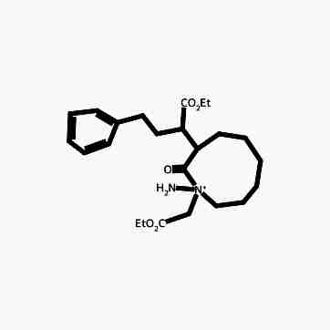 CCOC(=O)C[N+]1(N)CCCCCCC(C(CCc2ccccc2)C(=O)OCC)C1=O